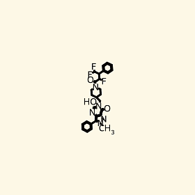 Cn1nc2c(=O)n(CC3(O)CCN(C(=O)C(F)C(c4ccccc4)C(F)F)CC3)cnc2c1-c1ccccc1